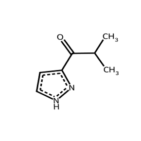 CC(C)C(=O)c1cc[nH]n1